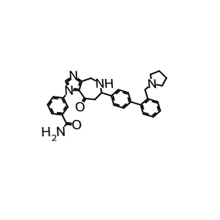 NC(=O)c1cccc(-n2cnc3c2C(=O)CC(c2ccc(-c4ccccc4CN4CCCC4)cc2)NC3)c1